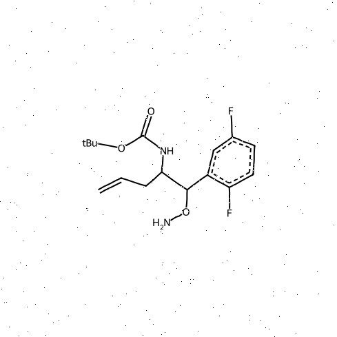 C=CCC(NC(=O)OC(C)(C)C)C(ON)c1cc(F)ccc1F